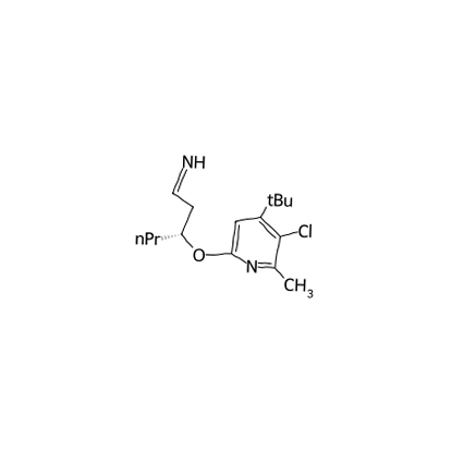 CCC[C@H](CC=N)Oc1cc(C(C)(C)C)c(Cl)c(C)n1